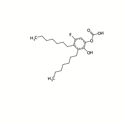 CCCCCCCc1c(F)cc(OC(=O)O)c(O)c1CCCCCCC